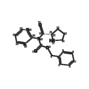 O=C(OCc1ccccc1)N(C(=O)[C@@H]1CCCN1)c1ncccn1